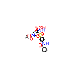 CC(C)(C)OC(=O)N1CCC(CS(=O)(=O)c2ccc(NC(=O)c3ccccc3)cc2)(C(=O)NO)CC1